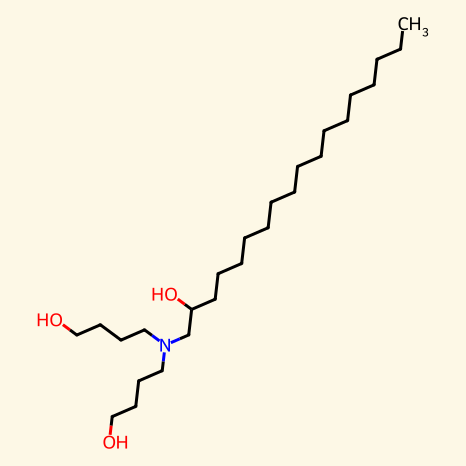 CCCCCCCCCCCCCCCCC(O)CN(CCCCO)CCCCO